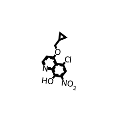 O=[N+]([O-])c1cc(Cl)c2c(OCC3CC3)ccnc2c1O